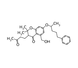 CC(=O)CCC1C(=O)c2c(CO)cc(OC(C)CCCc3ccccc3)cc2OC1(C)C